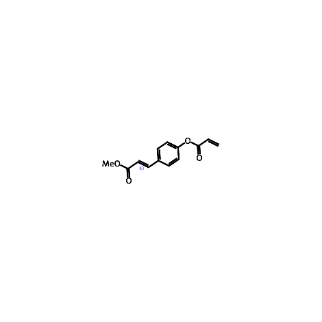 C=CC(=O)Oc1ccc(/C=C/C(=O)OC)cc1